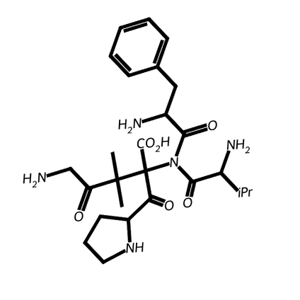 CC(C)C(N)C(=O)N(C(=O)C(N)Cc1ccccc1)C(C(=O)O)(C(=O)C1CCCN1)C(C)(C)C(=O)CN